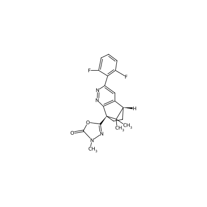 Cn1nc([C@@]23CC[C@@H](c4cc(-c5c(F)cccc5F)nnc42)C3(C)C)oc1=O